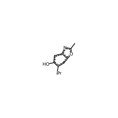 Cc1nc2cc(O)c(C(C)C)cc2o1